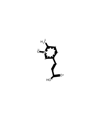 Cc1ccc(C=CC(=O)O)c[n+]1[O-]